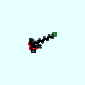 CCO[Si](CCCCCCCCCl)(OCC)OCC